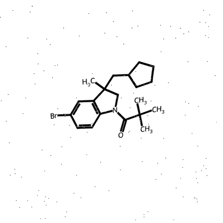 CC(C)(C)C(=O)N1CC(C)(CC2CCCC2)c2cc(Br)ccc21